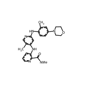 CNC(=O)c1ncccc1Nc1cc(Nc2ccc(N3CCOCC3)cc2C)ncc1C